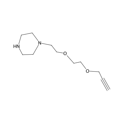 C#CCOCCOCCN1CCNCC1